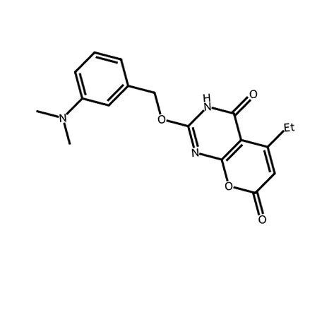 CCc1cc(=O)oc2nc(OCc3cccc(N(C)C)c3)[nH]c(=O)c12